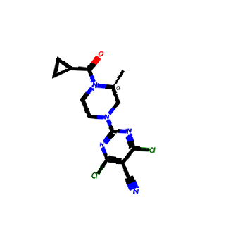 C[C@H]1CN(c2nc(Cl)c(C#N)c(Cl)n2)CCN1C(=O)C1CC1